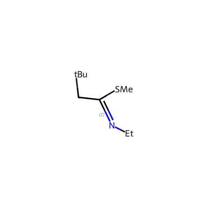 CC/N=C(/CC(C)(C)C)SC